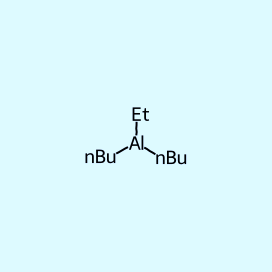 CCC[CH2][Al]([CH2]C)[CH2]CCC